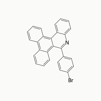 Brc1ccc(-c2nc3ccccc3c3c4ccccc4c4ccccc4c23)cc1